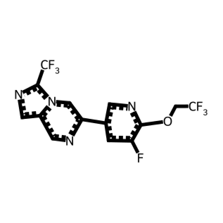 Fc1cc(-c2cn3c(C(F)(F)F)ncc3cn2)cnc1OCC(F)(F)F